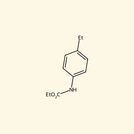 CCOC(=O)Nc1ccc(CC)cc1